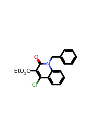 CCOC(=O)c1c(Cl)c2ccccc2n(Cc2ccccc2)c1=O